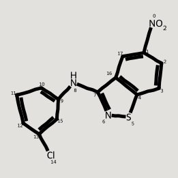 O=[N+]([O-])c1ccc2snc(Nc3cccc(Cl)c3)c2c1